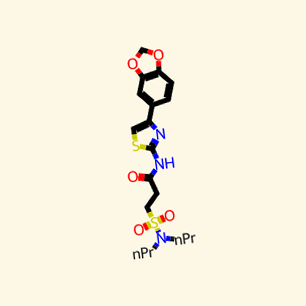 CCCN(CCC)S(=O)(=O)CCC(=O)Nc1nc(-c2ccc3c(c2)OCO3)cs1